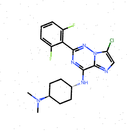 CN(C)[C@H]1CC[C@H](Nc2nc(-c3c(F)cccc3F)nn3c(Cl)cnc23)CC1